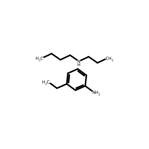 CCCCNCCC.CCc1cccc(N)c1